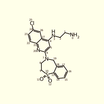 NCCNc1cc(N2CCS(=O)(=O)c3ccccc3C2)nc2ccc(Cl)cc12